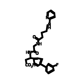 O=C(O)CC(NC(=O)CNC(=O)CCCCNc1ccccn1)c1ccc(-c2cccc(F)c2)cc1